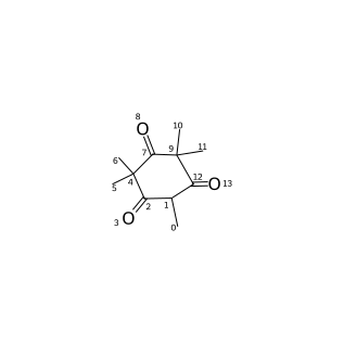 CC1C(=O)C(C)(C)C(=O)C(C)(C)C1=O